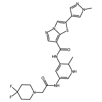 CC1NC=C(NC(=O)CN2CCC(F)(F)CC2)C=C1NC(=O)c1cnn2cc(-c3cnn(C)c3)sc12